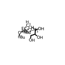 CCC.CCCC.CCCCC.CCCCOCCCC.OCC(O)CO